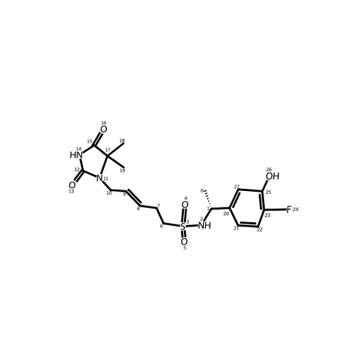 C[C@@H](NS(=O)(=O)CC/C=C/CN1C(=O)NC(=O)C1(C)C)c1ccc(F)c(O)c1